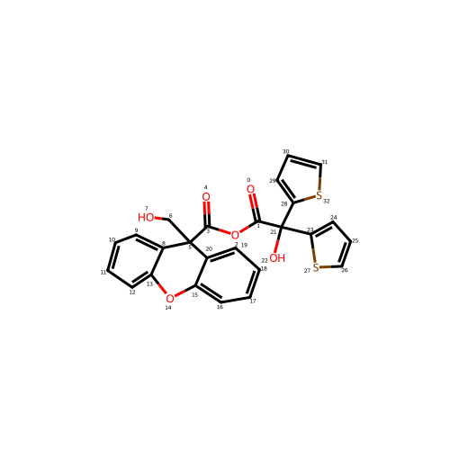 O=C(OC(=O)C1(CO)c2ccccc2Oc2ccccc21)C(O)(c1cccs1)c1cccs1